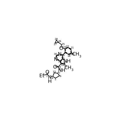 CCC(=O)N[C@@H]1CC[C@H](NC(=O)c2c(C)[nH]c3c(-c4cc(C)ccc4OCC4CC4)ncnc23)C1